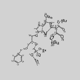 CCOP(=O)(COC(COCc1ccccc1)COn1cnc2c(OC)nc(N(C(=O)OC(C)(C)C)C(=O)OC(C)(C)C)nc21)OCC